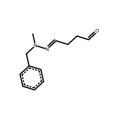 CN(Cc1ccccc1)/N=C/CCC=O